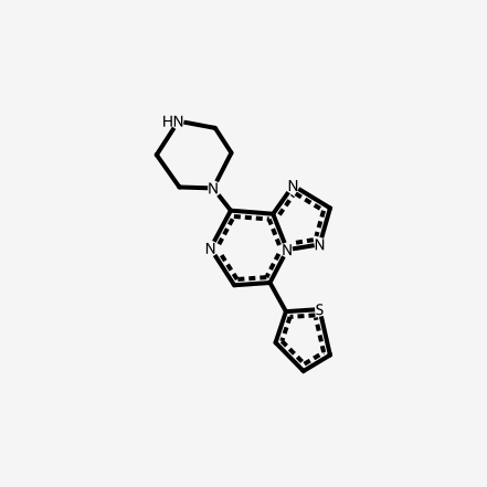 c1csc(-c2cnc(N3CCNCC3)c3ncnn23)c1